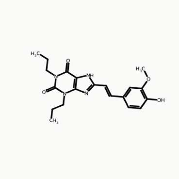 CCCn1c(=O)c2[nH]c(C=Cc3ccc(O)c(OC)c3)nc2n(CCC)c1=O